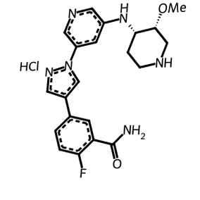 CO[C@@H]1CNCC[C@@H]1Nc1cncc(-n2cc(-c3ccc(F)c(C(N)=O)c3)cn2)c1.Cl